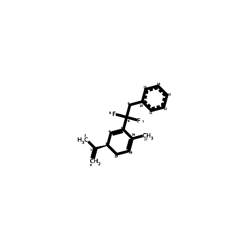 C=C(C)[C@H]1C=C(C(F)(F)Cc2ccccc2)C(C)=CC1